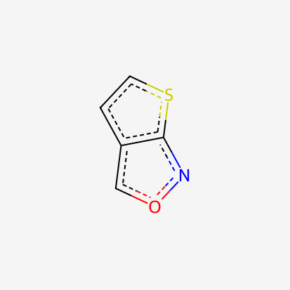 c1cc2conc2s1